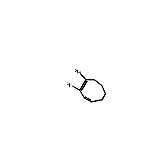 [2H]C1=C([2H])CCCCC=C1